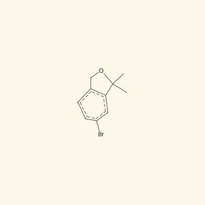 CC1(C)OCc2ccc(Br)cc21